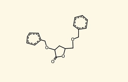 O=C1OC(COCc2ccccc2)CC1OCc1ccccc1